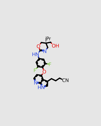 CC(C)[C@]1(CO)CN=C(Nc2cc(F)c(Oc3ccnc4[nH]cc(CCCC#N)c34)c(F)c2)OC1